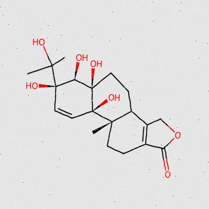 CC(C)(O)[C@@]1(O)C=C[C@@]2(O)[C@@]3(C)CCC4=C(COC4=O)C3CC[C@@]2(O)[C@@H]1O